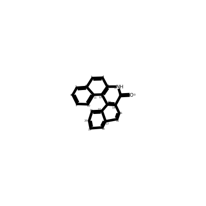 O=c1[nH]c2ccc3ccccc3c2c2c1ccc1ccccc12